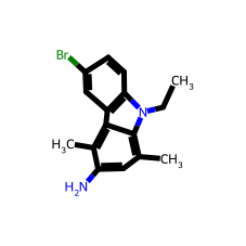 CCn1c2ccc(Br)cc2c2c(C)c(N)cc(C)c21